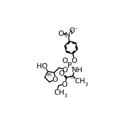 CCOC(=O)[C@H](C)NP(=O)(OCC1OCC[C@H]1O)Oc1ccc([N+](=O)[O-])cc1